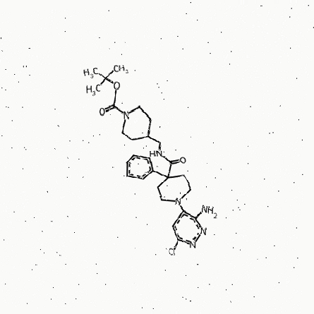 CC(C)(C)OC(=O)N1CCC(CNC(=O)C2(c3ccccc3)CCN(c3cc(Cl)nnc3N)CC2)CC1